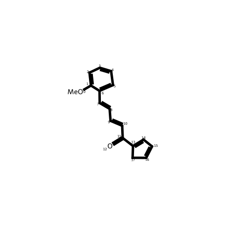 COc1ccccc1/C=C/C=C/C(=O)C1=CC=CC1